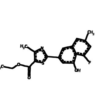 CCOC(=O)c1sc(-c2cc(O)c3c(F)cc(C)cc3c2)nc1C